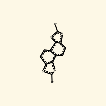 Brc1nc2c(ccc3c2ccc2sc(Br)nc23)s1